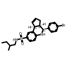 CCC(C)CNS(=O)(=O)c1ccc2c(c1)[C@H]1C=CC[C@H]1[C@@H](c1ccc(Br)cc1)N2